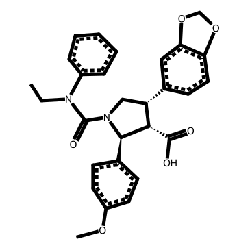 CCN(C(=O)N1C[C@H](c2ccc3c(c2)OCO3)[C@H](C(=O)O)[C@H]1c1ccc(OC)cc1)c1ccccc1